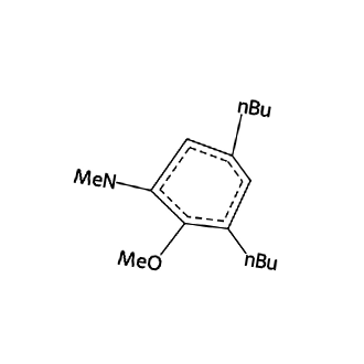 CCCCc1cc(CCCC)c(OC)c(NC)c1